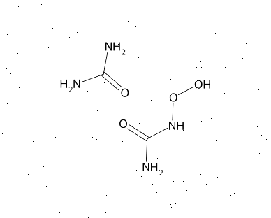 NC(=O)NOO.NC(N)=O